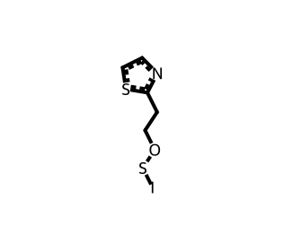 ISOCCc1nccs1